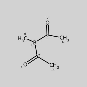 CB(C(C)=O)C(C)=O